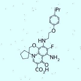 CC(C)c1ccc(OCCNc2c(F)c(N)c3c(=O)c(C(=O)O)cn4c3c2OCC42CCCC2)cc1